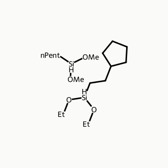 CCCCC[SiH](OC)OC.CCO[SiH](CCC1CCCC1)OCC